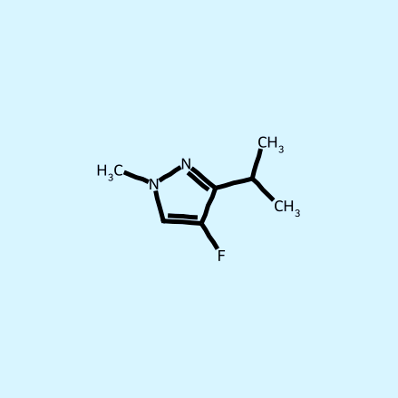 CC(C)c1nn(C)cc1F